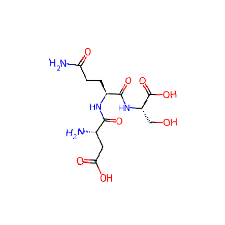 NC(=O)CC[C@H](NC(=O)[C@@H](N)CC(=O)O)C(=O)N[C@@H](CO)C(=O)O